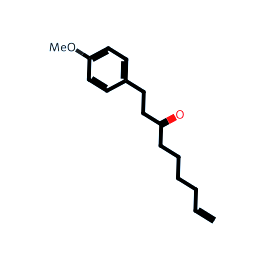 C=CCCCCC(=O)CCc1ccc(OC)cc1